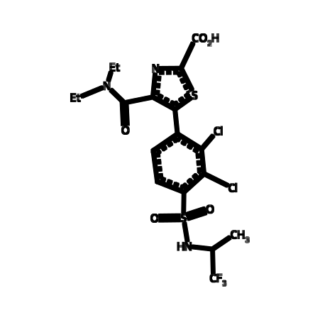 CCN(CC)C(=O)c1nc(C(=O)O)sc1-c1ccc(S(=O)(=O)NC(C)C(F)(F)F)c(Cl)c1Cl